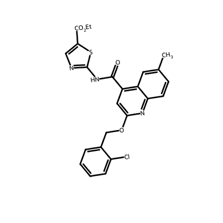 CCOC(=O)c1cnc(NC(=O)c2cc(OCc3ccccc3Cl)nc3ccc(C)cc23)s1